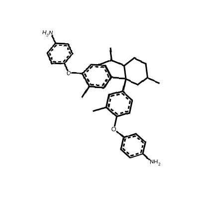 Cc1cc(C2(c3ccc(Oc4ccc(N)cc4)c(C)c3)CC(C)CCC2C(C)C)ccc1Oc1ccc(N)cc1